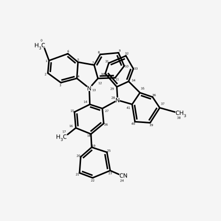 Cc1ccc2c(c1)c1ccccc1n2-c1cc(C)c(-c2cccc(C#N)c2)cc1-n1c2ccccc2c2cc(C)ccc21